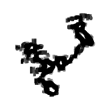 CCN(c1cc(-c2ccc(COCCOc3ccc4c(c3)C(=O)N([C@H](C(=O)O)C(C)C)C4)cc2)cc(C(=O)N(C)c2c(C)cc(C)[nH]c2=O)c1C)C1CCOCC1